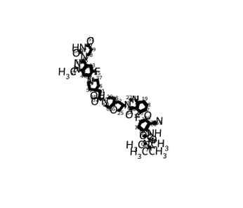 CN(C(C)(C)C)S(=O)(=O)Nc1ccc(F)c(Oc2ccc3ncn([C@H]4COC5(CCN(C(=O)CC6(O)CCN(c7cc8c(cc7F)c(N7CCC(=O)NC7=O)nn8C)CC6)CC5)C4)c(=O)c3c2)c1C#N